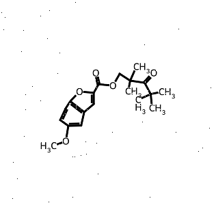 COc1ccc2oc(C(=O)OCC(C)(C)C(=O)C(C)(C)C)cc2c1